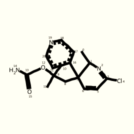 CC1N=C(Cl)C=CC1(CC(C)(C)OC(N)=O)c1ccncc1